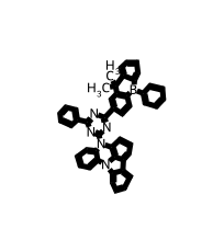 CC1(C)c2ccccc2B(c2ccccc2)c2ccc(-c3nc(-c4ccccc4)nc(N4c5ccccc5-n5c6ccccc6c6cccc4c65)n3)cc21